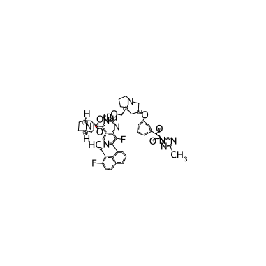 C#Cc1c(F)ccc2cccc(-c3ncc4c(N5C[C@H]6CC[C@@H](C5)N6C(=O)OC(C)(C)C)nc(OC[C@@]56CCCN5C[C@@H](Oc5cccc(S(=O)(=O)n7cnc(C)n7)c5)C6)nc4c3F)c12